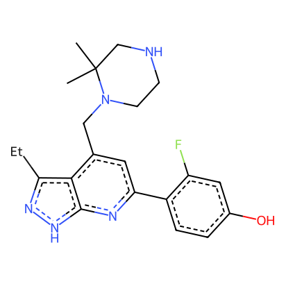 CCc1n[nH]c2nc(-c3ccc(O)cc3F)cc(CN3CCNCC3(C)C)c12